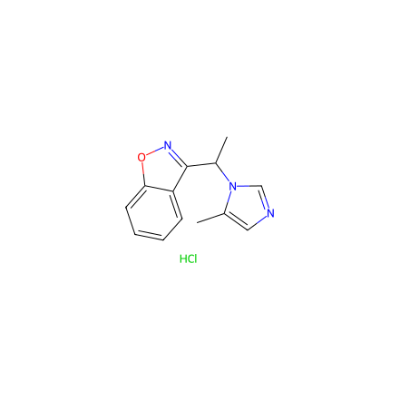 Cc1cncn1C(C)c1noc2ccccc12.Cl